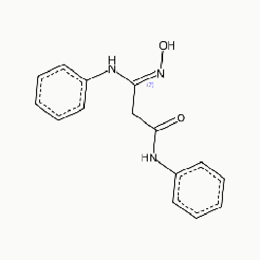 O=C(C/C(=N/O)Nc1ccccc1)Nc1ccccc1